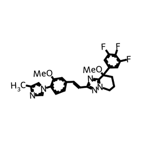 COc1cc(/C=C/c2nc3n(n2)CCCC3(OC)c2cc(F)c(F)c(F)c2)ccc1-n1cnc(C)c1